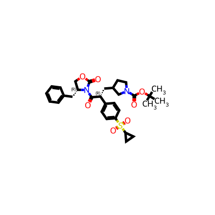 CC(C)(C)OC(=O)N1CCC(C[C@@H](C(=O)N2C(=O)OC[C@H]2Cc2ccccc2)c2ccc(S(=O)(=O)C3CC3)cc2)C1